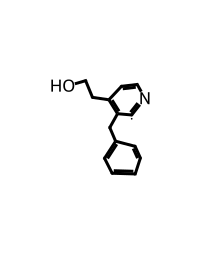 OCCc1ccn[c]c1Cc1ccccc1